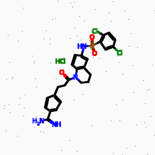 Cl.N=C(N)c1ccc(CCC(=O)N2CCCc3cc(NS(=O)(=O)c4cc(Cl)ccc4Cl)ccc32)cc1